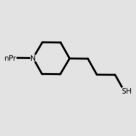 CCCN1CCC(CCCS)CC1